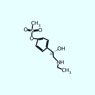 CCNC[C@@H](O)c1ccc(OS(C)(=O)=O)cc1